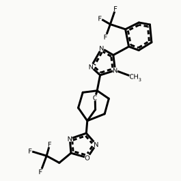 Cn1c(-c2ccccc2C(F)(F)F)nnc1C12CCC(c3noc(CC(F)(F)F)n3)(CC1)CC2